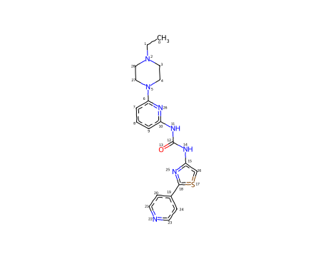 CCN1CCN(c2cccc(NC(=O)Nc3csc(-c4ccncc4)n3)n2)CC1